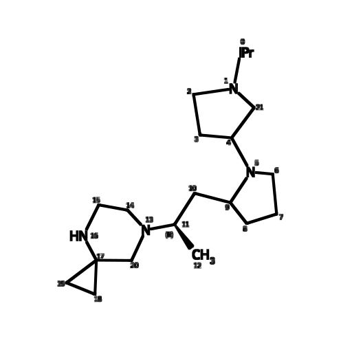 CC(C)N1CCC(N2CCCC2C[C@@H](C)N2CCNC3(CC3)C2)C1